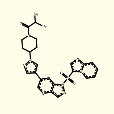 CCCC(CCC)C(=O)N1CCC(n2cc(-c3cnc4cnn(S(=O)(=O)c5cnc6ccccn56)c4c3)cn2)CC1